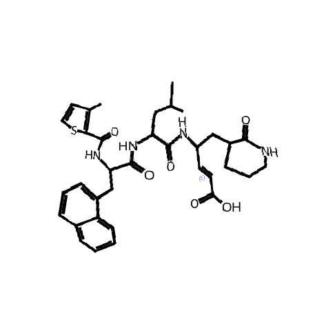 Cc1ccsc1C(=O)NC(Cc1cccc2ccccc12)C(=O)NC(CC(C)C)C(=O)NC(/C=C/C(=O)O)CC1CCCNC1=O